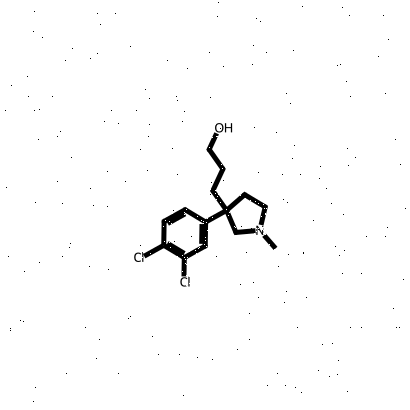 CN1CCC(CCCO)(c2ccc(Cl)c(Cl)c2)C1